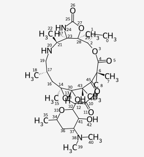 CC[C@@H]1OC(=O)[C@]2(C)CCC(=O)CO[C@@](C)(C[C@H](C)CN[C@@H](C)[C@H]3NC(=O)O[C@@]13C)[C@@H](OC1OC(C)CC(N(C)C)C1O)[C@@H](C)C2=O